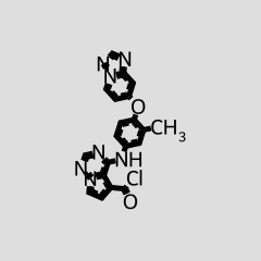 Cc1cc(Nc2ncnn3ccc(C(=O)Cl)c23)ccc1Oc1ccn2ncnc2c1